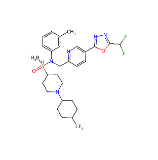 B[SH](=O)(C1CCN(C2CCC(C(F)(F)F)CC2)CC1)N(Cc1ccc(-c2nnc(C(F)F)o2)cn1)c1cccc(C)c1